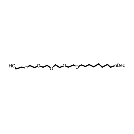 CCCCCCCCCCCCCCCCCCOCCOCCOCCOCCOCCO